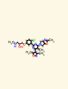 CNC[C@@H](O)COc1ccc(Cl)c(-c2nc(-c3c(C)noc3C)c(C)c(N3Cc4nc(C)oc4C3)n2)c1